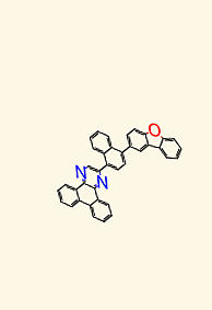 c1ccc2c(c1)oc1ccc(-c3ccc(-c4cnc5c6ccccc6c6ccccc6c5n4)c4ccccc34)cc12